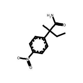 CCC(C)(C(N)=O)c1ccc([N+](=O)[O-])cc1